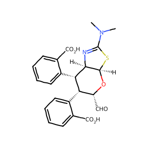 CN(C)C1=N[C@@H]2[C@@H](c3ccccc3C(=O)O)[C@@H](c3ccccc3C(=O)O)[C@@H](C=O)O[C@@H]2S1